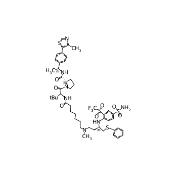 Cc1ncsc1-c1ccc([C@H](C)NC(=O)[C@@H]2CCCN2C(=O)C(NC(=O)CCCCCCN(C)CC[C@H](CSc2ccccc2)Nc2ccc(S(N)(=O)=O)cc2S(=O)(=O)C(F)(F)F)C(C)(C)C)cc1